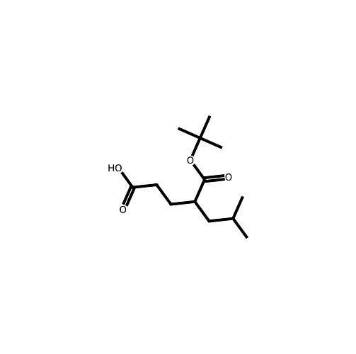 CC(C)CC(CCC(=O)O)C(=O)OC(C)(C)C